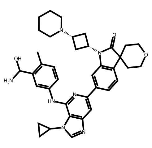 Cc1ccc(Nc2nc(-c3ccc4c(c3)N([C@H]3C[C@@H](N5CCCCC5)C3)C(=O)C43CCOCC3)cc3ncn(C4CC4)c23)cc1C(N)O